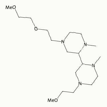 COCCOCCN1CCN(C)C(C2CN(CCOC)CCN2C)C1